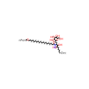 CCCCCCCCCCCCCC[C@@H](O)[C@@H](O)[C@H](CC[C@H]1OC(CO)[C@H](O)C(O)C1O)NC(=O)CCCCCCCCCCCCCCCCCCCOCCCCC